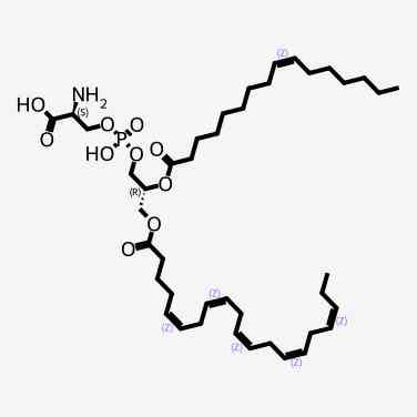 CC/C=C\C/C=C\C/C=C\C/C=C\C/C=C\CCCC(=O)OC[C@H](COP(=O)(O)OC[C@H](N)C(=O)O)OC(=O)CCCCCCC/C=C\CCCCCC